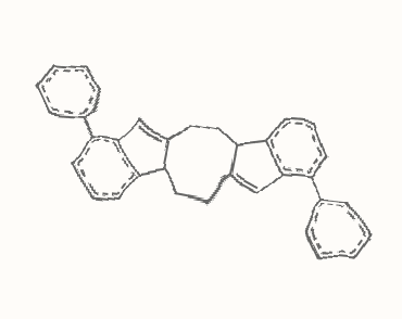 C1=C2CCC3C(=Cc4c(-c5ccccc5)cccc43)CCC2c2cccc(-c3ccccc3)c21